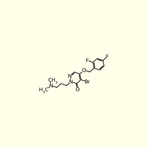 CN(C)CCCn1ncc(OCc2ccc(F)cc2F)c(Br)c1=O